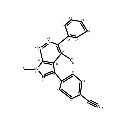 Cn1nc(-c2ccc(C#N)cc2)c2c(Cl)c(-c3ccccc3)nnc21